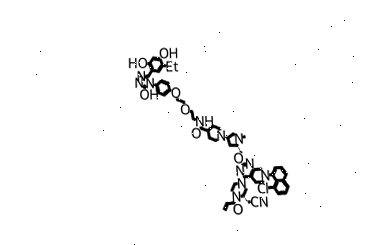 C=CC(=O)N1CCN(c2nc(OC[C@@H]3C[C@H](N4CCC(C(=O)NCCOCCOc5ccc(-n6c(O)nnc6-c6cc(CC)c(O)cc6O)cc5)CC4)CN3C)nc3c2CCN(c2cccc4cccc(Cl)c24)C3)C[C@@H]1CC#N